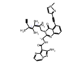 B/C(C#C)=C(B)/C(B)=C(/B)Cn1c([C@@H](C)NC(=O)c2c(N)nn3cccnc23)nc2cccc(C#Cc3ccn(C)n3)c2c1=O